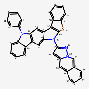 c1ccc(-n2c3ccccc3c3cc4c(cc32)c2c3ccccc3sc2n4-c2cc3cc4ccccc4cn3n2)cc1